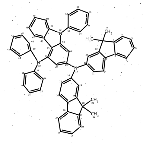 CC1(C)c2ccccc2-c2ccc(N(c3ccc4c(c3)C(C)(C)c3ccccc3-4)c3cc(N(c4ccccc4)c4ccccc4)c4c5ccccc5n(-c5ccccc5)c4c3)cc21